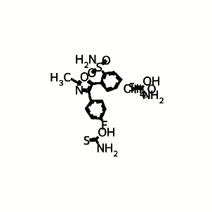 C.Cc1nc(-c2ccc(F)cc2)c(-c2ccccc2S(N)(=O)=O)o1.NC(O)=S.NC(O)=S.O